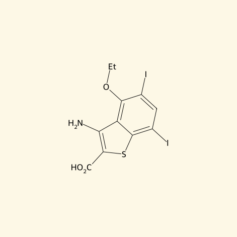 CCOc1c(I)cc(I)c2sc(C(=O)O)c(N)c12